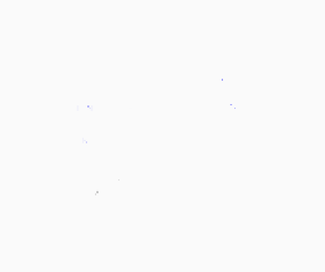 CNC(=O)c1cnc(N)c2[nH]c(-c3ccc(-c4nccn4C)cc3F)cc12